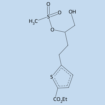 CCOC(=O)c1ccc(CCC(CO)OS(C)(=O)=O)s1